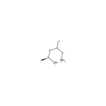 CC(CN)C[C@H](C)O